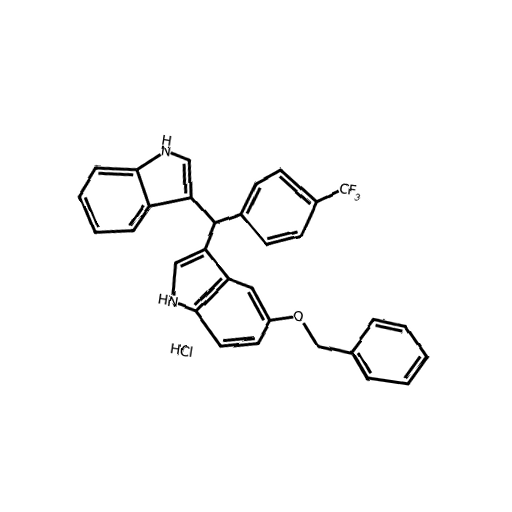 Cl.FC(F)(F)c1ccc([C](c2c[nH]c3ccccc23)c2c[nH]c3ccc(OCc4ccccc4)cc23)cc1